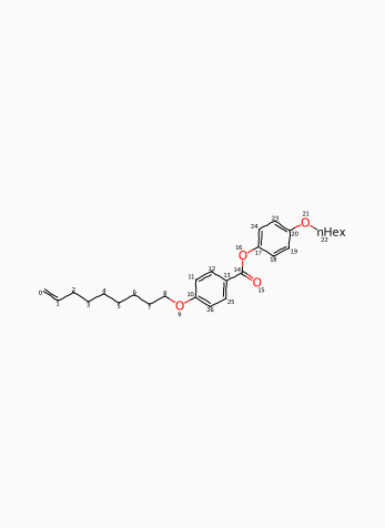 C=CCCCCCCCOc1ccc(C(=O)Oc2ccc(OCCCCCC)cc2)cc1